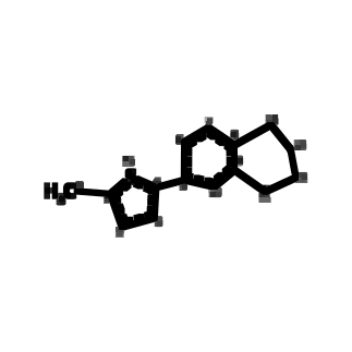 Cc1ccc(-c2ccc3c(c2)[C]CCC3)s1